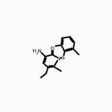 CCc1cc(N)c(=O)n(Sc2c(C)cccc2C)c1C